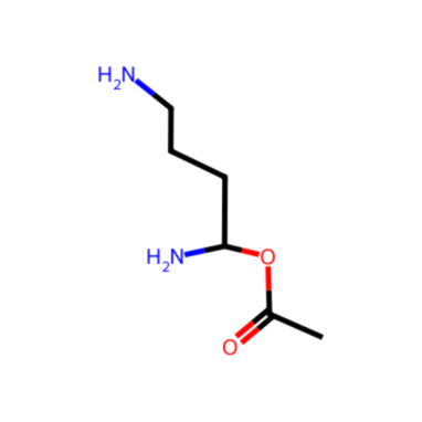 CC(=O)OC(N)CCCN